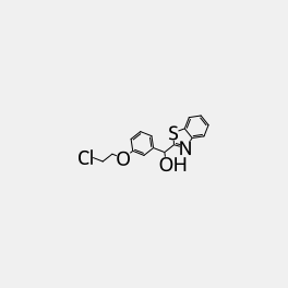 OC(c1cccc(OCCCl)c1)c1nc2ccccc2s1